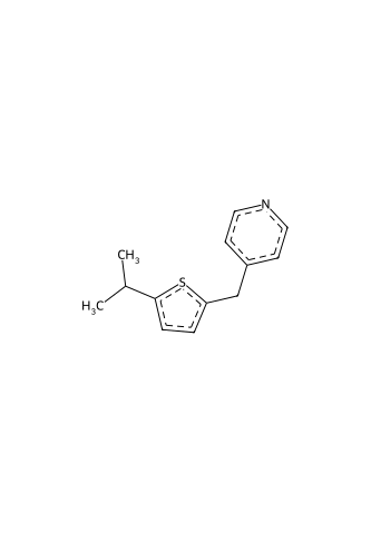 CC(C)c1ccc(Cc2ccncc2)s1